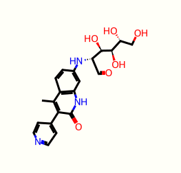 Cc1c(-c2ccncc2)c(=O)[nH]c2cc(N[C@@H](C=O)[C@@H](O)[C@H](O)[C@H](O)CO)ccc12